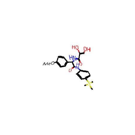 COc1ccc(C(NC(=O)C(O)CO)C(=O)Nc2ccc(S(C)(C)C)cc2)cc1